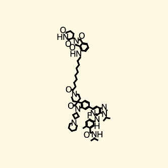 Cc1cc(F)c(Nc2nc(-c3ccc4c(c3)N([C@H]3C[C@@H](N5CCCCC5)C3)C(=O)C43CCN(C(=O)CCCCCCCCCNc4cccc5c4C(=O)N(C4CCC(=O)NC4=O)C5=O)CC3)cc3ncn(C(C)C)c23)cc1C(=O)NC(C)C